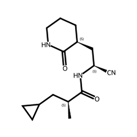 C[C@@H](CC1CC1)C(=O)N[C@H](C#N)C[C@@H]1CCCNC1=O